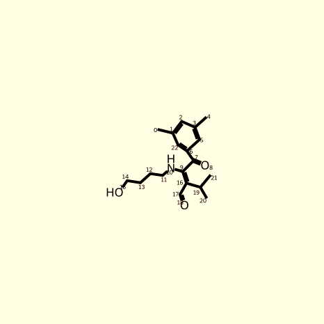 Cc1cc(C)cc(C(=O)/C(NCCCCO)=C(/C=O)C(C)C)c1